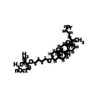 CCCCCCCCOC(OCCCCOC1CC[C@@]2(C)C(=CC[C@H]3[C@@H]4CC[C@H]([C@H](C)CCCC(C)C)[C@@]4(C)CC[C@@H]32)C1)[C@@H](C)N